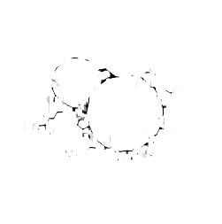 CC[C@H](C)[C@@H]1NC(=O)[C@H](CC(=O)O)NC(=O)[C@H](CCSC)NC(=O)[C@@H]2CCCN2C(=O)[C@@H]2CSCc3cc(cc(c3)OCCCCCCO/N=C/C(=O)N[C@@H](CCCNC(=N)N)C(=O)N2)CSC[C@@H](C(N)=O)NC(=O)[C@H](CCC(=O)O)NC(=O)CNC(=O)[C@H](C)NC1=O